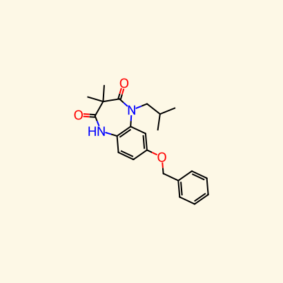 CC(C)CN1C(=O)C(C)(C)C(=O)Nc2ccc(OCc3ccccc3)cc21